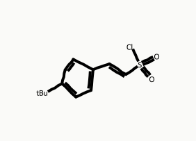 CC(C)(C)c1ccc(/C=C/S(=O)(=O)Cl)cc1